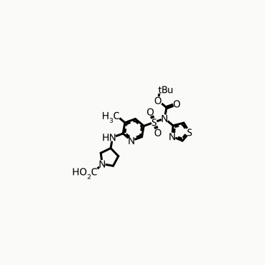 Cc1cc(S(=O)(=O)N(C(=O)OC(C)(C)C)c2cscn2)cnc1NC1CCN(C(=O)O)C1